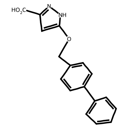 O=C(O)c1cc(OCc2ccc(-c3ccccc3)cc2)[nH]n1